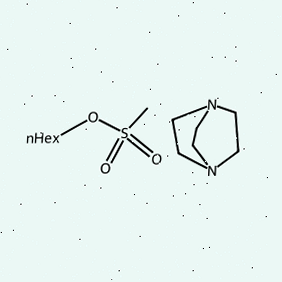 C1CN2CCN1CC2.CCCCCCOS(C)(=O)=O